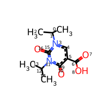 CC(C)n1cc(C(=O)O)c(=O)n(C(C)C)c1=O